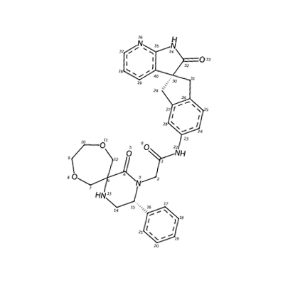 O=C(CN1C(=O)C2(COCCOC2)NC[C@H]1c1ccccc1)Nc1ccc2c(c1)C[C@@]1(C2)C(=O)Nc2ncccc21